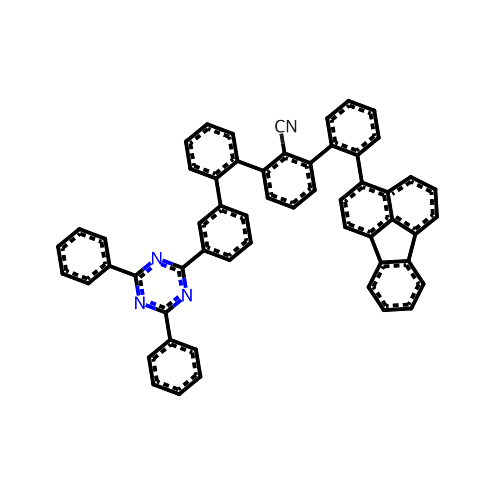 N#Cc1c(-c2ccccc2-c2cccc(-c3nc(-c4ccccc4)nc(-c4ccccc4)n3)c2)cccc1-c1ccccc1-c1ccc2c3c(cccc13)-c1ccccc1-2